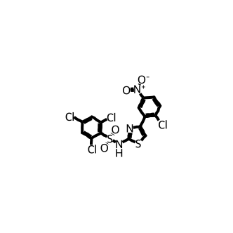 O=[N+]([O-])c1ccc(Cl)c(-c2csc(NS(=O)(=O)c3c(Cl)cc(Cl)cc3Cl)n2)c1